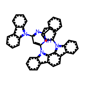 C1=C(n2c3ccccc3c3ccc4c5ccccc5n(-c5ccccc5)c4c32)NC(c2ccccc2)N=C1n1c2ccccc2c2ccccc21